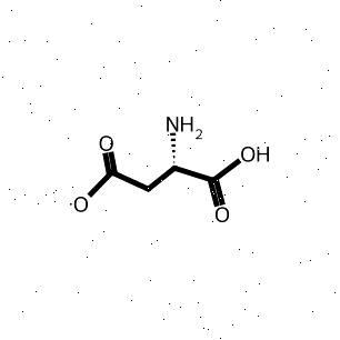 N[C@@H](CC([O])=O)C(=O)O